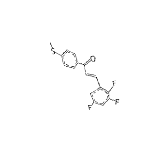 CSc1ccc(C(=O)C=Cc2cc(F)cc(F)c2F)cc1